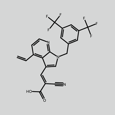 C=Cc1ccnc2c1c(/C=C(\C#N)C(=O)O)cn2Cc1cc(C(F)(F)F)cc(C(F)(F)F)c1